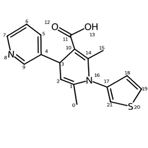 CC1=CC(c2cccnc2)C(C(=O)O)=C(C)N1c1ccsc1